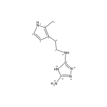 Cc1[nH]ccc1CCNc1nnc(N)[nH]1